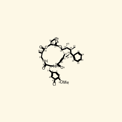 COc1ccc(C[C@H]2NC(=O)/C=C/C[C@@H]([C@H](C)[C@@H](C)[C@H](C)c3ccccc3)OC(=O)[C@H](CC(C)C)OC(=O)C(C)CNC2=O)cc1Cl